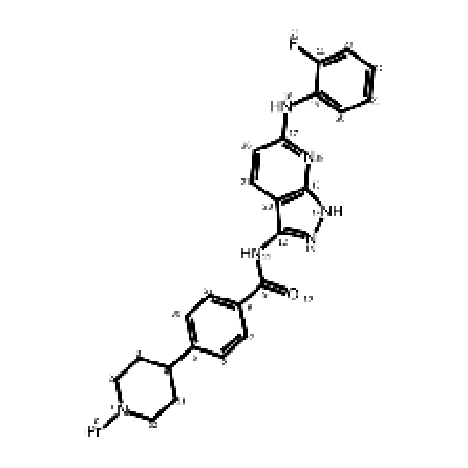 CC(C)N1CCC(c2ccc(C(=O)Nc3n[nH]c4nc(Nc5ccccc5F)ccc34)cc2)CC1